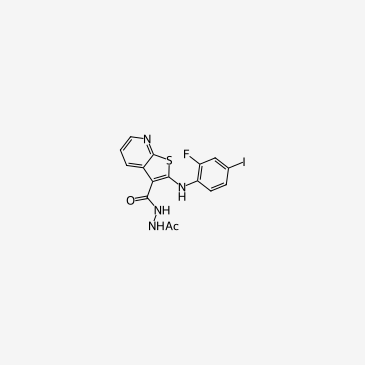 CC(=O)NNC(=O)c1c(Nc2ccc(I)cc2F)sc2ncccc12